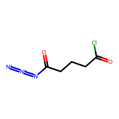 [N-]=[N+]=NC(=O)CCCC(=O)Cl